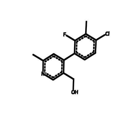 Cc1cc(-c2ccc(Cl)c(C)c2F)c(CO)cn1